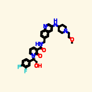 COCCN1CCC(Nc2cnc3ccc(CNC(=O)c4cccn([C@@H](CO)c5ccc(F)c(F)c5)c4=O)cc3c2)CC1